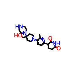 Cc1nc(C2CCC(=O)NC2=O)ccc1N1CCC(CO)(N2CCNCC2)CC1